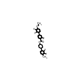 CCOc1ccc(-c2ccc(C(=O)OC3CCC(c4ccc(C)c(F)c4F)CC3)c(F)c2)c(F)c1F